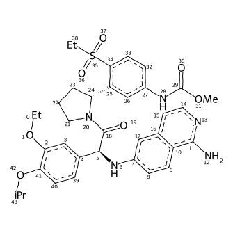 CCOc1cc([C@H](Nc2ccc3c(N)nccc3c2)C(=O)N2CCC[C@@H]2c2cc(NC(=O)OC)ccc2S(=O)(=O)CC)ccc1OC(C)C